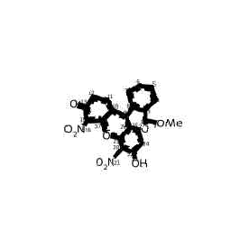 COC(=O)c1ccccc1-c1c2ccc(=O)c([N+](=O)[O-])c-2oc2c([N+](=O)[O-])c(O)ccc12